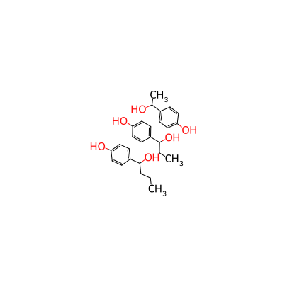 CC(O)c1ccc(O)cc1.CCC(O)c1ccc(O)cc1.CCCC(O)c1ccc(O)cc1